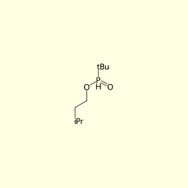 CC(C)CCO[PH](=O)C(C)(C)C